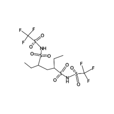 CCC(CC(CC)S(=O)(=O)NS(=O)(=O)C(F)(F)F)S(=O)(=O)NS(=O)(=O)C(F)(F)F